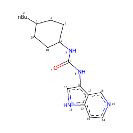 CCCCC1CCC(NC(=O)Nc2c[nH]c3ccncc23)CC1